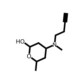 C#CCCN(C)C1CC(C)OC(O)C1